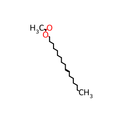 CCCCCCC=CCCCCCCCCCOC(C)=O